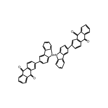 O=C1c2ccccc2C(=O)c2cc(-c3ccc4c(c3)c3ccccc3n4-n3c4ccccc4c4cc(-c5ccc6c(c5)C(=O)c5ccccc5C6=O)ccc43)ccc21